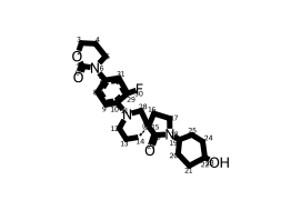 O=C1OCCCN1c1ccc(N2CCC[C@@]3(CCN(C4CCC(O)CC4)C3=O)C2)c(F)c1